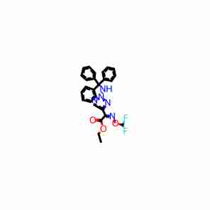 CCOC(=O)C(=NOC(F)F)c1cnn(NC(c2ccccc2)(c2ccccc2)c2ccccc2)n1